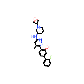 Cc1cc(NC2CCCN(C3COC3)C2)nnc1-c1ccc(-c2ccccc2F)cc1O